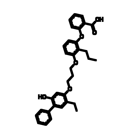 CCCc1c(OCCCOc2cc(O)c(-c3ccccc3)cc2CC)cccc1Oc1ccccc1C(=O)O